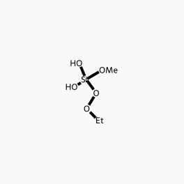 CCOO[Si](O)(O)OC